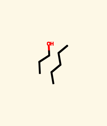 CCCCC.CCCO